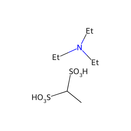 CC(S(=O)(=O)O)S(=O)(=O)O.CCN(CC)CC